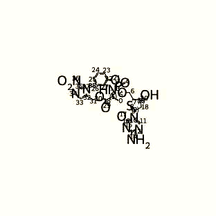 C[C@H](NP(=O)(OCC1S[C@@H](n2cnc(N)nc2=O)C[C@H]1O)Oc1ccccc1)C(=O)OCc1cnc([N+](=O)[O-])n1C